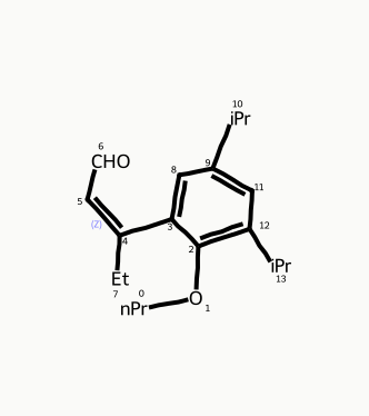 CCCOc1c(/C(=C\C=O)CC)cc(C(C)C)cc1C(C)C